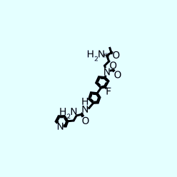 CC(=O)[C@@H](N)C1CN(c2ccc(-c3ccc(CNC(=O)C(N)Cc4cccnc4)cc3)c(F)c2)C(=O)O1